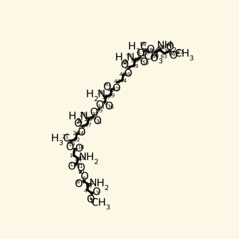 COC(=O)C[C@H](N)C(=O)OCOC(=O)[C@@H](N)CC(=O)OC(C)CCOC(=O)C[C@H](N)C(=O)OCOC(=O)[C@@H](N)CC(=O)OCCCOC(=O)C[C@H](N)C(=O)OC(C)(C)OC(=O)[C@@H](N)CC(=O)OC